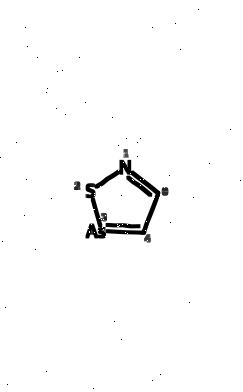 C1=NS[As]=C1